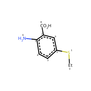 CCSc1ccc(N)c(C(=O)O)c1